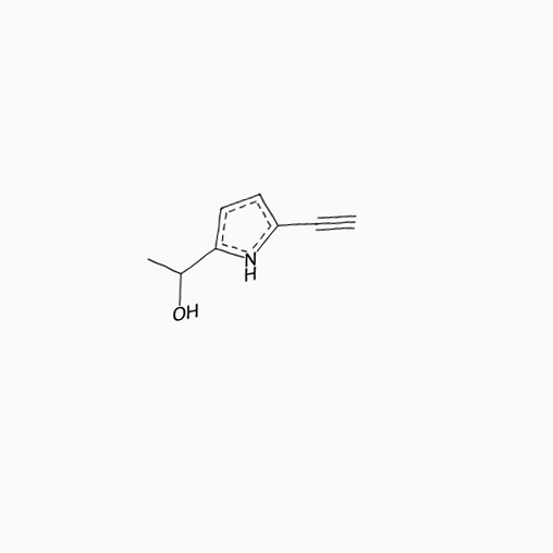 C#Cc1ccc(C(C)O)[nH]1